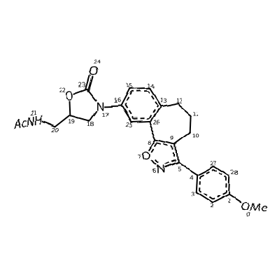 COc1ccc(-c2noc3c2CCCc2ccc(N4CC(CNC(C)=O)OC4=O)cc2-3)cc1